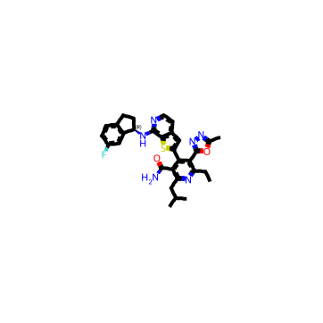 CCc1nc(CC(C)C)c(C(N)=O)c(-c2cc3ccnc(N[C@@H]4CCc5ccc(F)cc54)c3s2)c1-c1nnc(C)o1